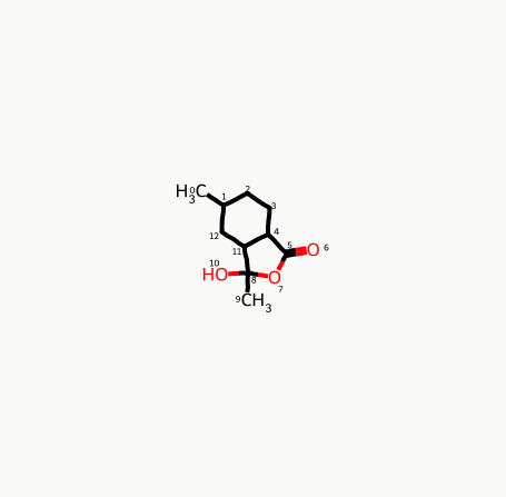 CC1CCC2C(=O)OC(C)(O)C2C1